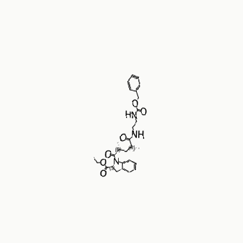 CCOC(=O)[C@@H]1Cc2ccccc2N1C(=O)[C@H](C)C[C@@H](C)C(=O)NCCNC(=O)OCc1ccccc1